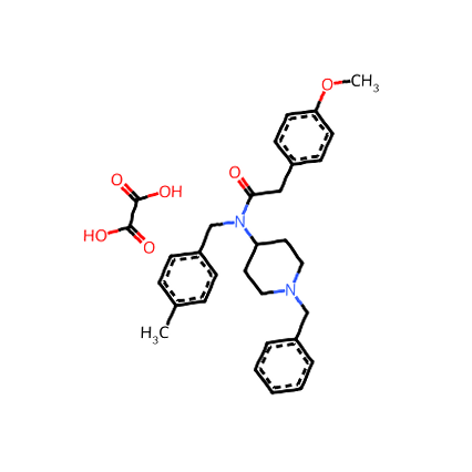 COc1ccc(CC(=O)N(Cc2ccc(C)cc2)C2CCN(Cc3ccccc3)CC2)cc1.O=C(O)C(=O)O